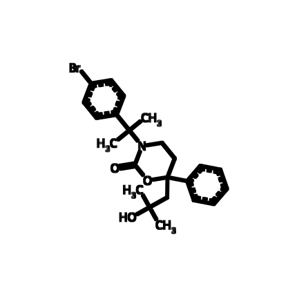 CC(C)(O)CC1(c2ccccc2)CCN(C(C)(C)c2ccc(Br)cc2)C(=O)O1